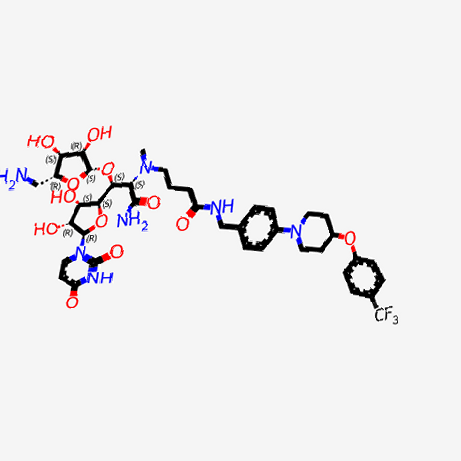 CN(CCCC(=O)NCc1ccc(N2CCC(Oc3ccc(C(F)(F)F)cc3)CC2)cc1)[C@H](C(N)=O)[C@H](O[C@@H]1O[C@H](CN)[C@@H](O)[C@H]1O)[C@H]1O[C@@H](n2ccc(=O)[nH]c2=O)[C@H](O)[C@@H]1O